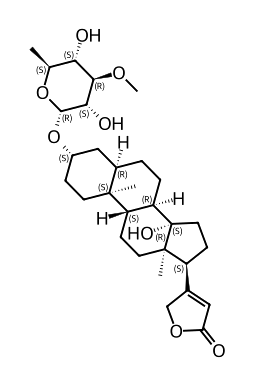 CO[C@H]1[C@H](O)[C@H](O[C@H]2CC[C@@]3(C)[C@H](CC[C@@H]4[C@@H]3CC[C@]3(C)[C@H](C5=CC(=O)OC5)CC[C@]43O)C2)O[C@@H](C)[C@@H]1O